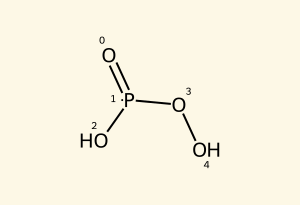 O=[P](O)OO